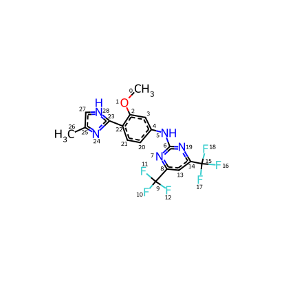 COc1cc(Nc2nc(C(F)(F)F)cc(C(F)(F)F)n2)ccc1-c1nc(C)c[nH]1